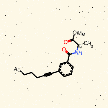 COC(=O)[C@H](C)NC(=O)c1cccc(C#CCCCC(C)=O)c1